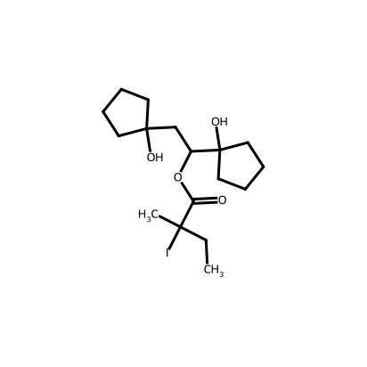 CCC(C)(I)C(=O)OC(CC1(O)CCCC1)C1(O)CCCC1